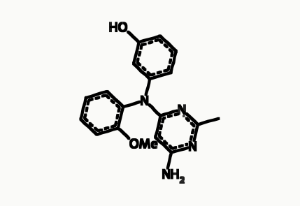 COc1ccccc1N(c1cccc(O)c1)c1cc(N)nc(C)n1